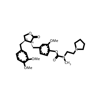 COc1ccc(C[C@H]2COC(=O)[C@@H]2Cc2ccc(OC(=O)N(C)CCN3CCCC3)c(OC)c2)cc1OC